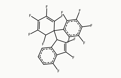 FC1=C(F)C(F)C(c2c(F)c(F)c(F)c(F)c2F)(C2C(F)=C(F)c3c(F)cccc32)C(F)=C1F